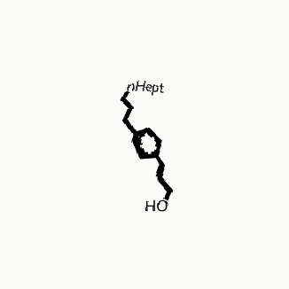 CCCCCCCCCCc1ccc(C=CCO)cc1